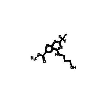 COC(=O)c1ccc2nc(C(F)(F)F)nc(NCCCO)c2c1